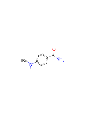 CN(c1ccc(C(N)=O)cc1)C(C)(C)C